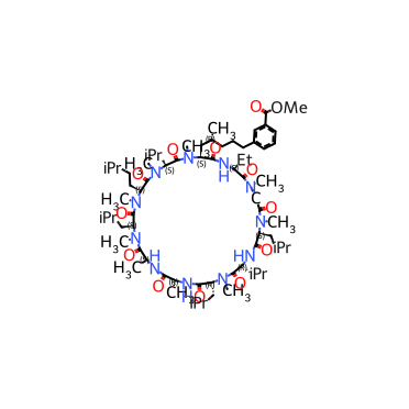 CC[C@@H]1NC(=O)[C@H](C[C@H](C)CCCc2cccc(C(=O)OC)c2)N(C)C(=O)[C@H](C(C)C)N(C)C(=O)[C@H](CCC(C)C)N(C)C(=O)[C@H](CC(C)C)N(C)C(=O)[C@H](C)NC(=O)[C@@H](C)NC(=O)[C@@H](CC(C)C)N(C)C(=O)[C@@H](C(C)C)NC(=O)[C@H](CC(C)C)N(C)C(=O)CN(C)C1=O